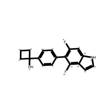 OC1(c2ccc(-c3c(F)cc4[nH]ccc4c3F)cc2)CCC1